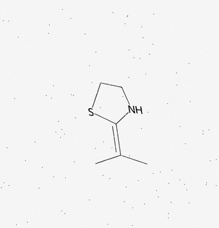 CC(C)=C1NCCS1